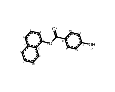 O=C(Oc1cccc2ccccc12)c1ccc(O)cc1